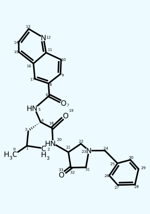 CC(C)C[C@H](NC(=O)c1ccc2ncccc2c1)C(=O)NC1CN(Cc2ccccc2)CC1=O